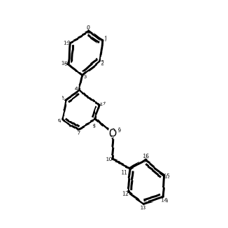 [c]1ccc(-c2cccc(OCc3ccccc3)c2)cc1